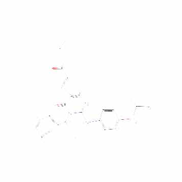 CCOC(=O)C=Cc1cnc(Nc2ccc(OC(C)C)c(Cl)c2)n(C(Cl)c2ccccc2)c1=O